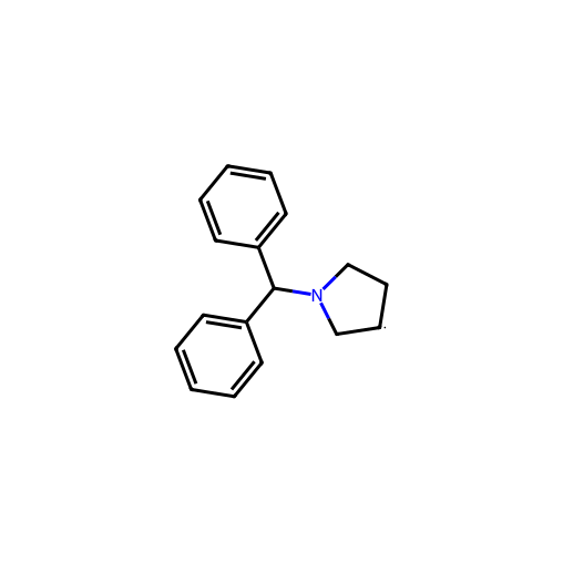 [CH]1CCN(C(c2ccccc2)c2ccccc2)C1